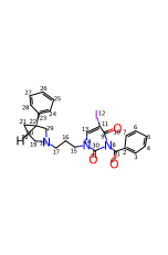 O=C(c1ccccc1)n1c(=O)c(I)cn(CCCN2C[C@@H]3C[C@]3(c3ccccc3)C2)c1=O